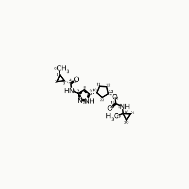 C[C@@H]1C[C@H]1C(=O)Nc1cc([C@@H]2CC[C@H](OC(=O)NC3(C)CC3)C2)[nH]n1